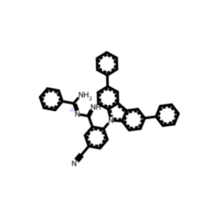 N#Cc1ccc(-n2c3ccc(-c4ccccc4)cc3c3cc(-c4ccccc4)ccc32)c(C(=N)/N=C(\N)c2ccccc2)c1